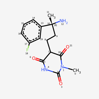 CN1C(=O)NC(=O)C(CC[C@@](C)(N)c2cccc(F)c2)C1=O